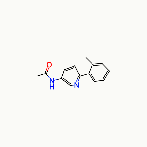 CC(=O)Nc1ccc(-c2ccccc2C)nc1